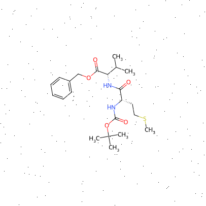 CSCC[C@H](NC(=O)OC(C)(C)C)C(=O)N[C@H](C(=O)OCc1ccccc1)C(C)C